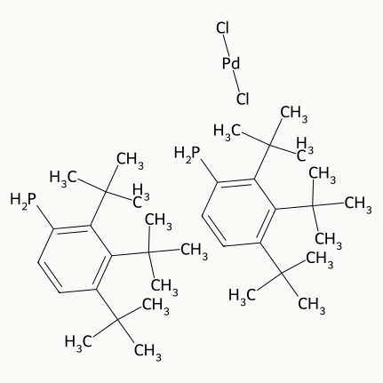 CC(C)(C)c1ccc(P)c(C(C)(C)C)c1C(C)(C)C.CC(C)(C)c1ccc(P)c(C(C)(C)C)c1C(C)(C)C.[Cl][Pd][Cl]